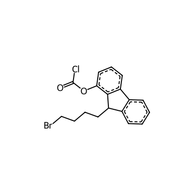 O=C(Cl)Oc1cccc2c1C(CCCCBr)c1ccccc1-2